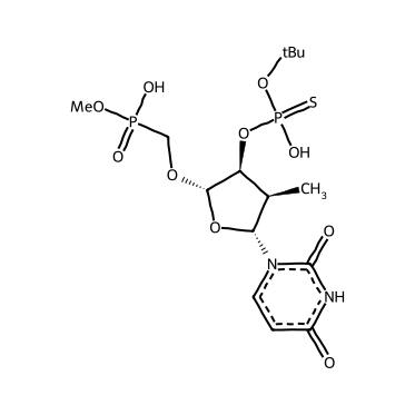 COP(=O)(O)CO[C@H]1O[C@@H](n2ccc(=O)[nH]c2=O)[C@H](C)[C@@H]1OP(O)(=S)OC(C)(C)C